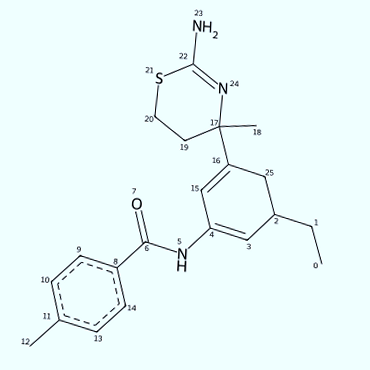 CCC1C=C(NC(=O)c2ccc(C)cc2)C=C(C2(C)CCSC(N)=N2)C1